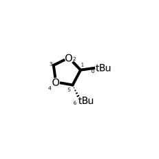 CC(C)(C)C1OCO[C@H]1C(C)(C)C